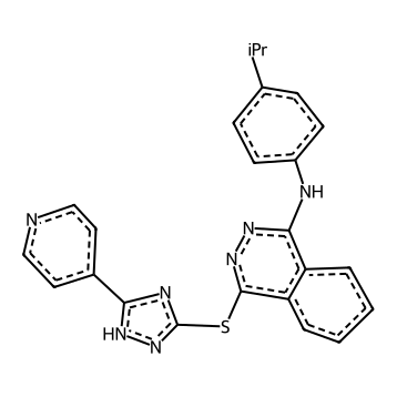 CC(C)c1ccc(Nc2nnc(Sc3n[nH]c(-c4ccncc4)n3)c3ccccc23)cc1